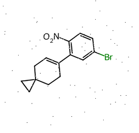 O=[N+]([O-])c1ccc(Br)cc1C1=CCC2(CC1)CC2